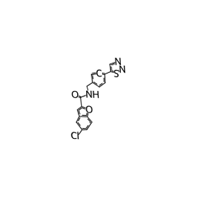 O=C(NCc1ccc(-c2cnns2)cc1)c1cc2cc(Cl)ccc2o1